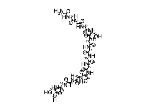 NCC(=O)NCC(=O)NCC(=O)NCC(=O)N[C@@H](CO)C(=O)NCC(=O)NCC(=O)NCC(=O)NCC(=O)N[C@@H](CO)C(=O)NCC(=O)NCC(=O)NCC(=O)N[C@@H](CO)C(=O)O